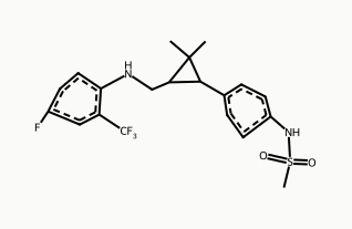 CC1(C)C(CNc2ccc(F)cc2C(F)(F)F)C1c1ccc(NS(C)(=O)=O)cc1